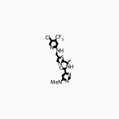 CNc1cc(C(=O)N[C@H](C)c2ncc(CNc3cc(C(F)(F)F)c(Cl)cn3)s2)ncn1